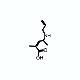 C=CCNC(C)C=C(C)C(=O)O